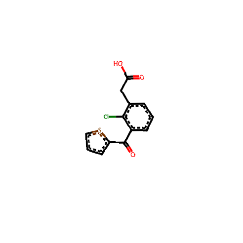 O=C(O)Cc1cccc(C(=O)c2cccs2)c1Cl